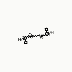 Cc1cc(CCC(=O)OCCCCCCOC(=O)CCc2cc(C)c(O)c(C3CCCCC3)c2)cc(C2CCCCC2)c1O